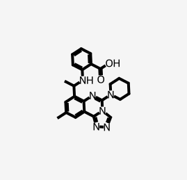 Cc1cc(C(C)Nc2ccccc2C(=O)O)c2nc(N3CCCCC3)n3cnnc3c2c1